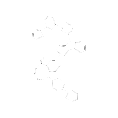 C=C1/C=C\C=C/N(C2C=CC(c3ccccc3)=CC2)c2ccc(-c3ccc4c(c3)c3ccccc3n4-c3cccc(-c4cccc(-c5ccccc5)c4)c3)cc21